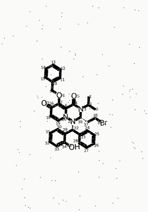 CC(C)N1C(=O)c2c(OCc3ccccc3)c(=O)ccn2N([C@H](c2ccccc2)c2ccccc2O)[C@H]1CCBr